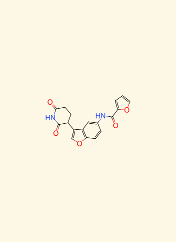 O=C1CCC(c2coc3ccc(NC(=O)c4ccco4)cc23)C(=O)N1